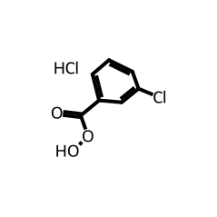 Cl.O=C(OO)c1cccc(Cl)c1